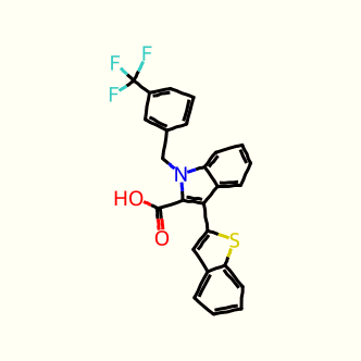 O=C(O)c1c(-c2cc3ccccc3s2)c2ccccc2n1Cc1cccc(C(F)(F)F)c1